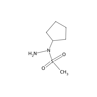 CS(=O)(=O)N(N)C1CCCC1